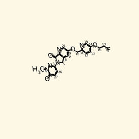 Cn1nc(N2Cc3cc(OCc4ccc(OCCF)cn4)cnc3C2=O)ccc1=O